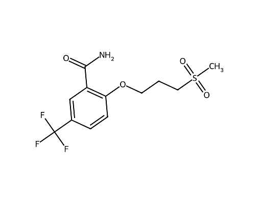 CS(=O)(=O)CCCOc1ccc(C(F)(F)F)cc1C(N)=O